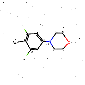 CC(=O)c1c(F)cc(N2CCOCC2)cc1F